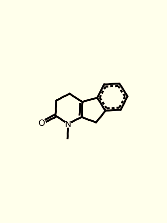 CN1C(=O)CCC2=C1Cc1ccccc12